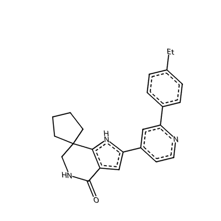 CCc1ccc(-c2cc(-c3cc4c([nH]3)C3(CCCC3)CNC4=O)ccn2)cc1